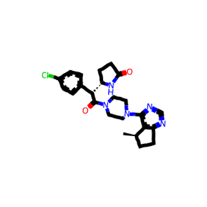 C[C@@H]1CCc2ncnc(N3CCN(C(=O)C(c4ccc(Cl)cc4)[C@@H]4CCC(=O)N4)CC3)c21